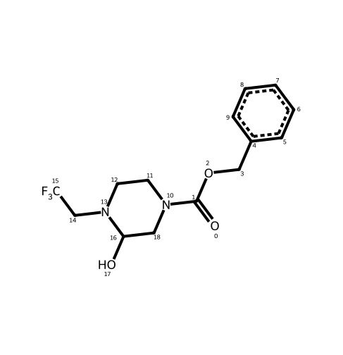 O=C(OCc1ccccc1)N1CCN(CC(F)(F)F)C(O)C1